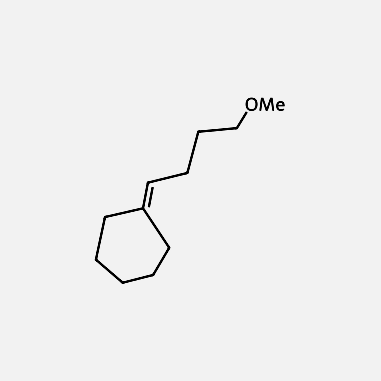 COCCCC=C1CCCCC1